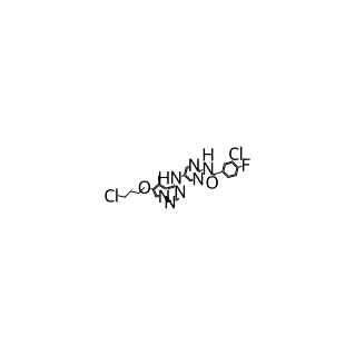 Cc1c(OCCCCl)cn2ncnc(Nc3cnc(NC(=O)c4ccc(F)c(Cl)c4)nc3)c12